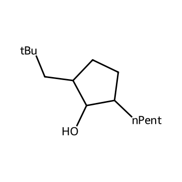 CCCCCC1CCC(CC(C)(C)C)C1O